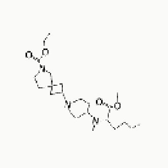 CCCCC(C(=O)OC)N(C)C1CCN(C2CC3(CCN(C(=O)OCC)C3)C2)CC1